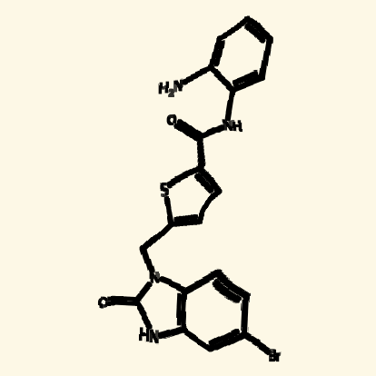 Nc1ccccc1NC(=O)c1ccc(Cn2c(=O)[nH]c3cc(Br)ccc32)s1